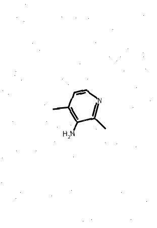 Cc1ccnc(C)c1N